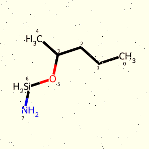 CCCC(C)O[SiH2]N